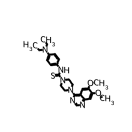 CCN(CC)c1ccc(NC(=S)N2CCN(c3ncnc4cc(OC)c(OC)cc34)CC2)cc1